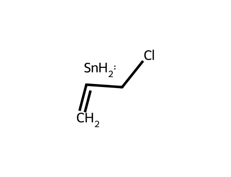 C=CCCl.[SnH2]